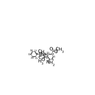 COC(=O)c1ccc(N)c(C(=O)NC(C)(C)c2ccccc2)c1